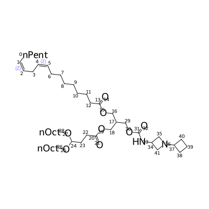 CCCCC/C=C\C/C=C\CCCCCCCC(=O)OCC(COC(=O)CCC(OCCCCCCCC)OCCCCCCCC)COC(=O)NC1CN(C2CCC2)C1